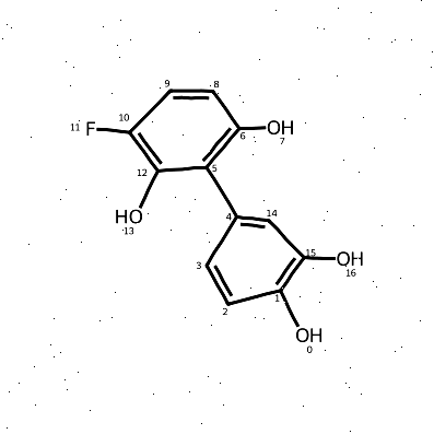 Oc1ccc(-c2c(O)ccc(F)c2O)cc1O